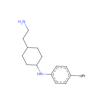 CCCc1ccc(NC2CCC(CCN)CC2)cc1